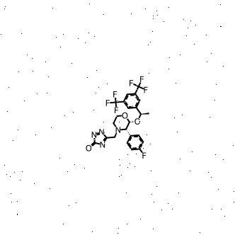 C[C@@H](O[C@H]1OCCN(CC2=NC(=O)N=N2)[C@H]1c1ccc(F)cc1)c1cc(C(F)(F)F)cc(C(F)(F)F)c1